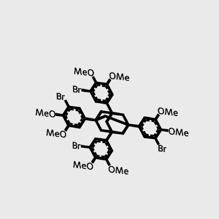 COc1cc(C23CC4(c5cc(Br)c(OC)c(OC)c5)CC(c5cc(Br)c(OC)c(OC)c5)(C2)CC(c2cc(Br)c(OC)c(OC)c2)(C3)C4)cc(Br)c1OC